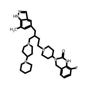 Cc1cc(CC(CCN2CCC(N3Cc4cccc(F)c4NC3=O)CC2)CN2CCC(N3CCCCC3)CC2)cc2cn[nH]c12